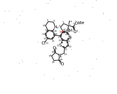 COC(=O)[C@@]1(C)C[C@@H](N2CCCc3cc(Cl)cc(-c4ccnc5cc(CN6C(=O)CCC6=O)sc45)c32)CN1